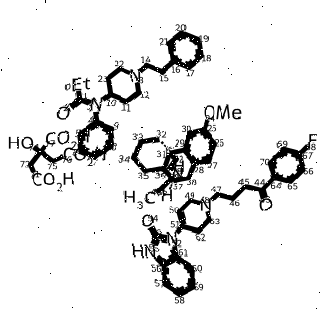 CCC(=O)N(c1ccccc1)C1CCN(CCc2ccccc2)CC1.COc1ccc2c(c1)[C@]13CCCC[C@@H]1[C@H](C2)N(C)CC3.O=C(CCCN1CC=C(n2c(=O)[nH]c3ccccc32)CC1)c1ccc(F)cc1.O=C(O)CC(O)(CC(=O)O)C(=O)O